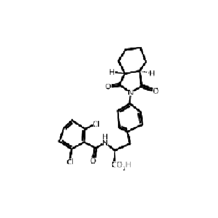 O=C(N[C@@H](Cc1ccc(N2C(=O)[C@@H]3CCCC[C@H]3C2=O)cc1)C(=O)O)c1c(Cl)cccc1Cl